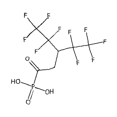 O=C(CC(C(F)(F)C(F)(F)F)C(F)(F)C(F)(F)F)P(=O)(O)O